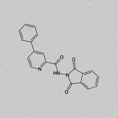 O=C(NN1C(=O)c2ccccc2C1=O)c1cc(-c2ccccc2)ccn1